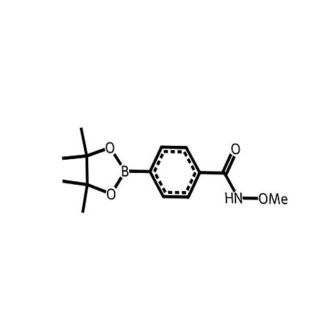 CONC(=O)c1ccc(B2OC(C)(C)C(C)(C)O2)cc1